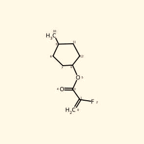 C=C(F)C(=O)OC1CCC(C)CC1